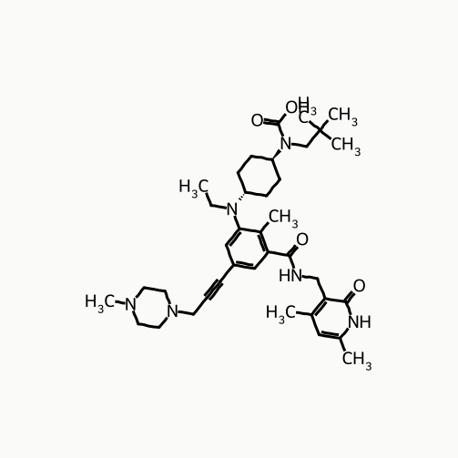 CCN(c1cc(C#CCN2CCN(C)CC2)cc(C(=O)NCc2c(C)cc(C)[nH]c2=O)c1C)[C@H]1CC[C@H](N(CC(C)(C)C)C(=O)O)CC1